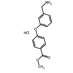 COC(=O)c1ccc(Oc2cccc(CN)c2)cc1.Cl